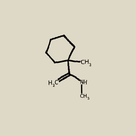 C=C(NC)C1(C)CCCCC1